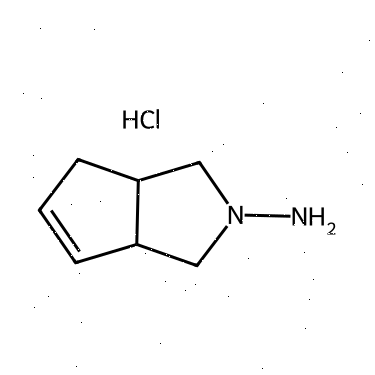 Cl.NN1CC2C=CCC2C1